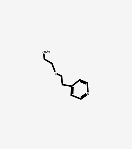 COCCSCCc1ccncc1